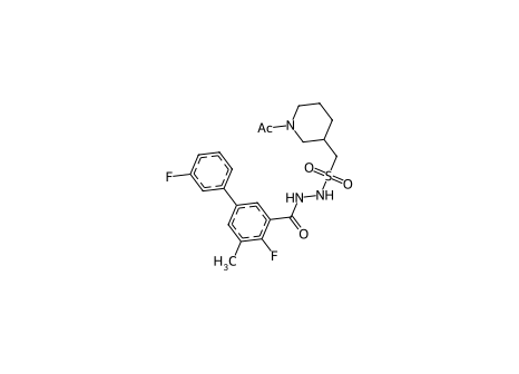 CC(=O)N1CCCC(CS(=O)(=O)NNC(=O)c2cc(-c3cccc(F)c3)cc(C)c2F)C1